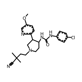 COc1ccc(C2CN(CCC(C)(C)C#N)CCC2NC(=O)Nc2ccc(Cl)cc2)nc1